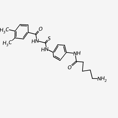 Cc1ccc(C(=O)NC(=S)Nc2ccc(NC(=O)CCCCN)cc2)cc1C